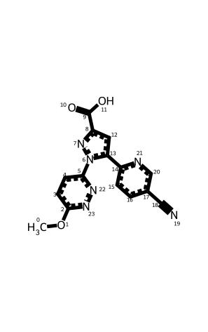 COc1ccc(-n2nc(C(=O)O)cc2-c2ccc(C#N)cn2)nn1